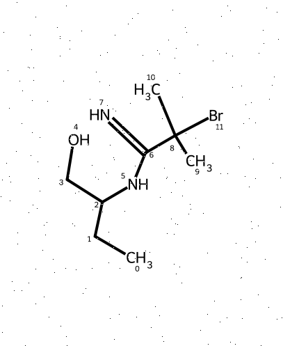 CCC(CO)NC(=N)C(C)(C)Br